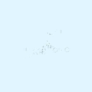 CCOC(=O)/C(C)=C\C(C)=C\c1csc([C@H](Cc2ccc(OCc3ccccc3)cc2)NC(=O)N2CCC(C(=O)OCC)CC2)n1